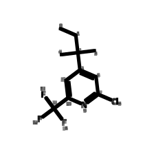 CCC(C)(C)c1cc(Cl)nc(C(F)(F)F)c1